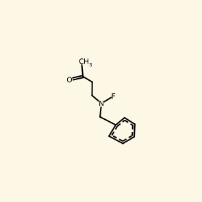 CC(=O)CCN(F)Cc1ccccc1